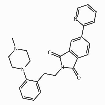 CN1CCN(c2ccccc2CCN2C(=O)c3ccc(-c4ccccn4)cc3C2=O)CC1